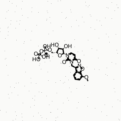 COc1cccc2c(Cn3c(=O)ccn([C@@H]4O[C@H](COP(=O)(O)OP(=O)(O)O)[C@H](O)[C@@H]4O)c3=O)noc12